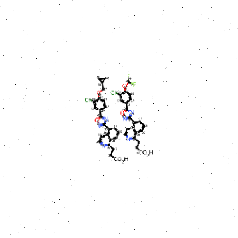 O=C(O)CCc1nccc2c(-c3noc(-c4ccc(OC(F)F)c(Cl)c4)n3)cccc12.O=C(O)CCc1nccc2c(-c3noc(-c4ccc(OCC5CC5)c(Cl)c4)n3)cccc12